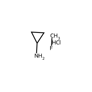 CF.Cl.NC1CC1